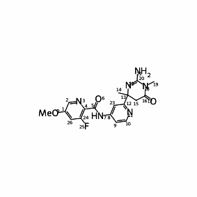 COc1cnc(C(=O)Nc2ccnc(C3(C)CC(=O)N(C)C(N)=N3)c2)c(F)c1